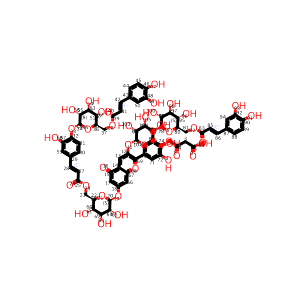 O=C(O)CC(=O)OC[C@H]1O[C@@H](Oc2cc3c(=O)cc(O[C@@H]4O[C@H](COC(=O)/C=C/c5ccc(O[C@@H]6O[C@H](COC(=O)/C=C/c7ccc(O)c(O)c7)[C@@H](O)[C@H](O)[C@H]6O)c(O)c5)[C@@H](O)[C@H](O)[C@H]4O)cc-3oc2-c2cc(O)c(O)c(O[C@@H]3O[C@H](COC(=O)/C=C/c4ccc(O)c(O)c4)[C@@H](O)[C@H](O)[C@H]3O)c2)[C@H](O)[C@@H](O)[C@@H]1O